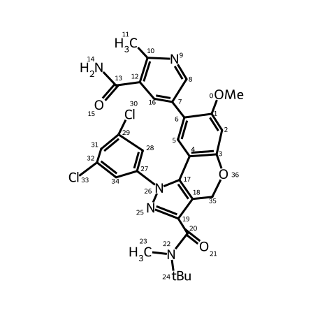 COc1cc2c(cc1-c1cnc(C)c(C(N)=O)c1)-c1c(c(C(=O)N(C)C(C)(C)C)nn1-c1cc(Cl)cc(Cl)c1)CO2